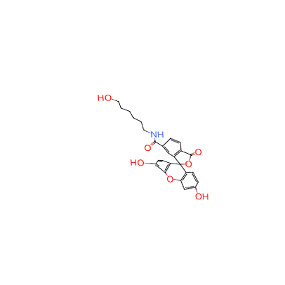 O=C(NCCCCCCO)c1ccc2c(c1)C1(OC2=O)c2ccc(O)cc2Oc2cc(O)ccc21